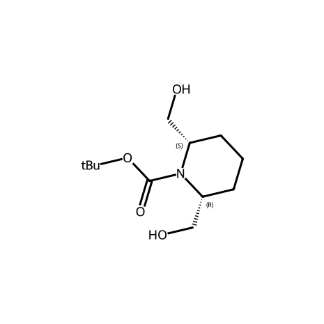 CC(C)(C)OC(=O)N1[C@H](CO)CCC[C@@H]1CO